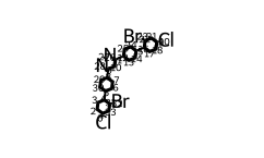 Clc1ccc(-c2ccc(-c3cc(-c4ccc(-c5ccc(Cl)cc5Br)cc4)ncn3)cc2)c(Br)c1